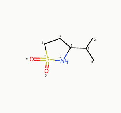 CC(C)C1CCS(=O)(=O)N1